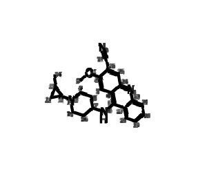 COc1cc2c(NC3CCN(C4CC4C)CC3)c3ccccc3nc2cc1C#N